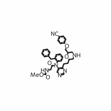 COC(=O)NCC(=O)N(c1ccccc1Cc1ccccc1)c1cncnc1CCC1CNCC(COc2ccc(C#N)cc2)O1